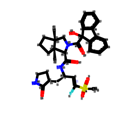 CS(=O)(=O)/C(F)=C/[C@H](C[C@H]1CCNC1=O)NC(=O)[C@H]1[C@@H]2CCC[C@@H]2CN1C(=O)C1(O)c2ccccc2-c2ccccc21